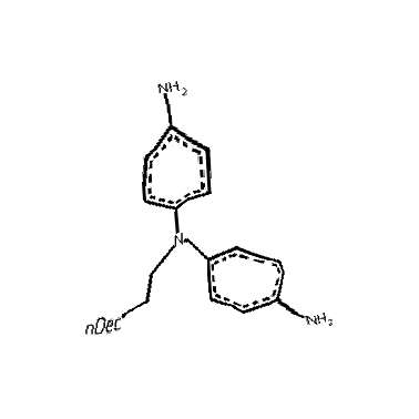 CCCCCCCCCCCCN(c1ccc(N)cc1)c1ccc(N)cc1